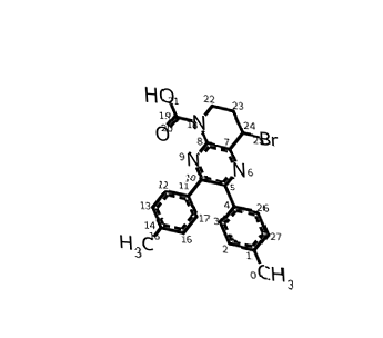 Cc1ccc(-c2nc3c(nc2-c2ccc(C)cc2)N(C(=O)O)CCC3Br)cc1